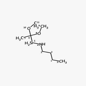 CCCCN[SiH2]C(C)(OC)OC